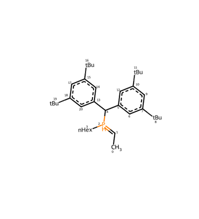 CC=[PH](CCCCCC)C(c1cc(C(C)(C)C)cc(C(C)(C)C)c1)c1cc(C(C)(C)C)cc(C(C)(C)C)c1